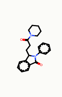 O=C(CCC1c2ccccc2C(=O)N1c1ccccc1)N1CCCCC1